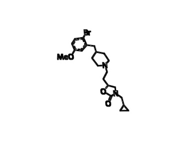 COc1ccc(Br)c(CC2CCN(CCC3CN(CC4CC4)C(=O)O3)CC2)c1